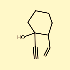 C#CC1(O)CCCCC1C=C